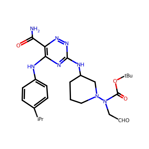 CC(C)c1ccc(Nc2nc(NC3CCCN(N(CC=O)C(=O)OC(C)(C)C)C3)nnc2C(N)=O)cc1